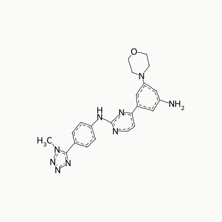 Cn1nnnc1-c1ccc(Nc2nccc(-c3cc(N)cc(N4CCOCC4)c3)n2)cc1